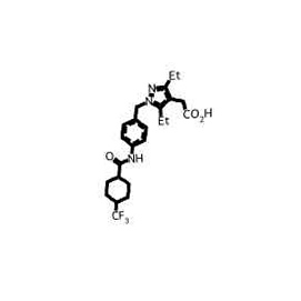 CCc1nn(Cc2ccc(NC(=O)C3CCC(C(F)(F)F)CC3)cc2)c(CC)c1CC(=O)O